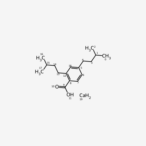 CC(C)CCc1ccc(C(=O)O)c(CCC(C)C)c1.[CaH2]